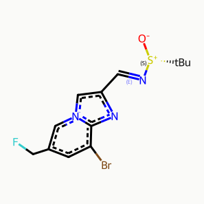 CC(C)(C)[S@@+]([O-])/N=C/c1cn2cc(CF)cc(Br)c2n1